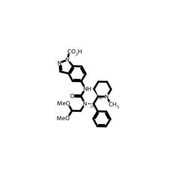 COC(CN(C(=O)Nc1ccc2c(cnn2C(=O)O)c1)[C@@H](c1ccccc1)[C@H]1CCCCN1C)OC